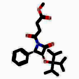 COC(=O)CCC(=O)N1C(=O)[C@H](O[Si](C(C)C)(C(C)C)C(C)C)[C@@H]1c1ccccc1